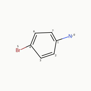 [N]c1ccc(Br)cc1